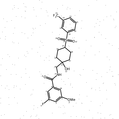 COc1cc(F)cc(C(=O)NCC2(O)CCC(S(=O)(=O)c3cccc(C(F)(F)F)c3)CC2)c1